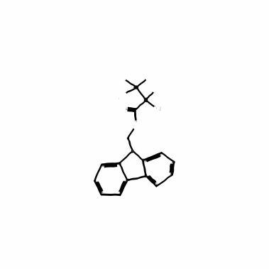 CC(C)(O)C(N)(C(=O)O)C(=O)OCC1c2ccccc2-c2ccccc21